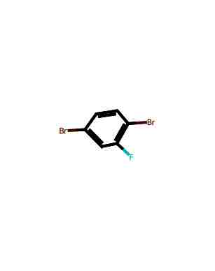 Fc1[c]c(Br)ccc1Br